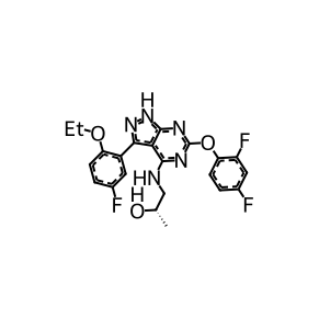 CCOc1ccc(F)cc1-c1n[nH]c2nc(Oc3ccc(F)cc3F)nc(NC[C@H](C)O)c12